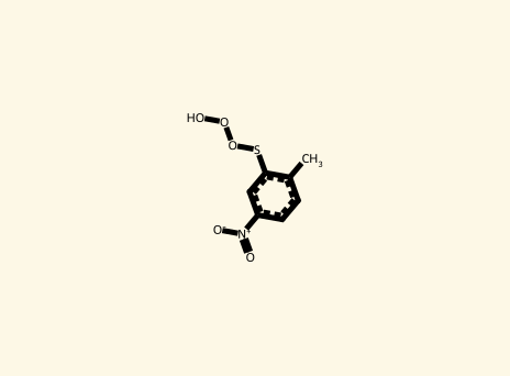 Cc1ccc([N+](=O)[O-])cc1SOOO